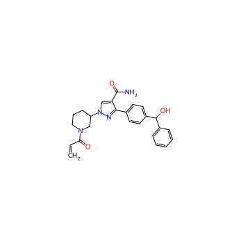 C=CC(=O)N1CCCC(n2cc(C(N)=O)c(-c3ccc(C(O)c4ccccc4)cc3)n2)C1